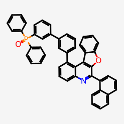 O=P(c1ccccc1)(c1ccccc1)c1cccc(-c2cccc(-c3cccc4nc(-c5cccc6ccccc56)c5oc6ccccc6c5c34)c2)c1